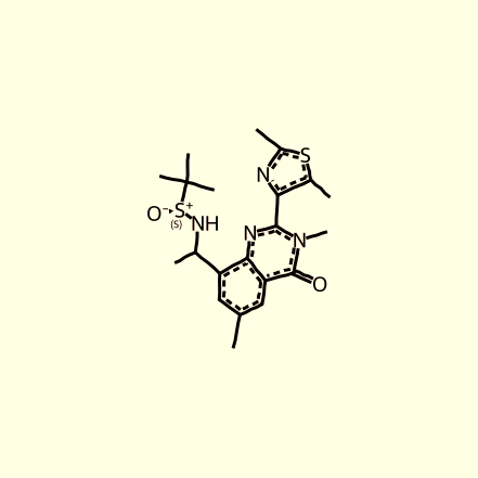 Cc1cc(C(C)N[S@+]([O-])C(C)(C)C)c2nc(-c3nc(C)sc3C)n(C)c(=O)c2c1